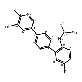 Cc1ncc(-c2ccc3c4cc(F)cnc4n(C(F)F)c3c2)cc1F